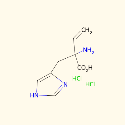 C=CC(N)(Cc1c[nH]cn1)C(=O)O.Cl.Cl